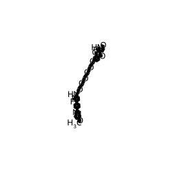 COc1ccc2nc(-c3ccc(-c4ccc(NCCOCCOCCOCCOCCOCCOc5ccc6c(c5)C(=O)N(C5CCC(=O)NC5=O)C6=O)nc4F)cc3)cn2c1